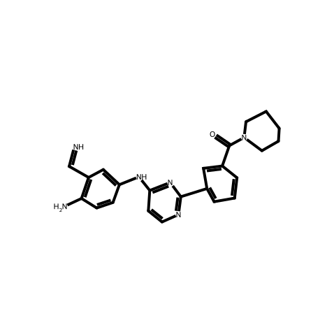 N=Cc1cc(Nc2ccnc(-c3cccc(C(=O)N4CCCCC4)c3)n2)ccc1N